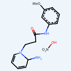 COc1cccc(NC(=O)CCN2C=CC=CC2N)c1.O=[N+]([O-])O